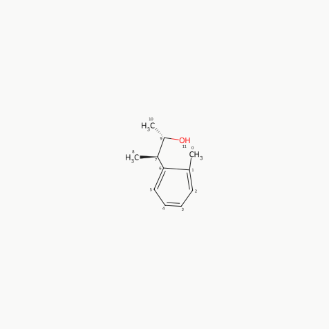 Cc1ccccc1[C@@H](C)[C@H](C)O